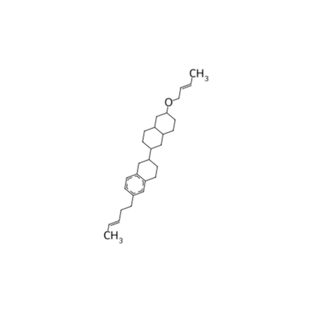 CC=CCCc1ccc2c(c1)CCC(C1CCC3CC(OCC=CC)CCC3C1)C2